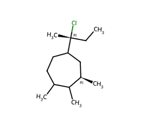 CC[C@@](C)(Cl)C1CCC(C)C(C)[C@H](C)C1